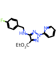 CCOC(=O)c1nn(-c2ccccn2)nc1NCc1ccc(F)cc1